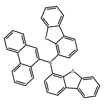 c1ccc2c(c1)cc(N(c1cccc3c1sc1ccccc13)c1cccc3c1sc1ccccc13)c1ccccc12